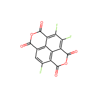 O=C1OC(=O)c2c(F)c(F)c3c4c(c(F)cc1c24)C(=O)OC3=O